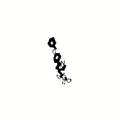 O=C1NC(=O)/C(=C/c2ccnc(-c3ccc(OCc4ccccc4)cc3)c2)S1